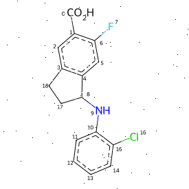 O=C(O)c1cc2c(cc1F)C(Nc1ccccc1Cl)CC2